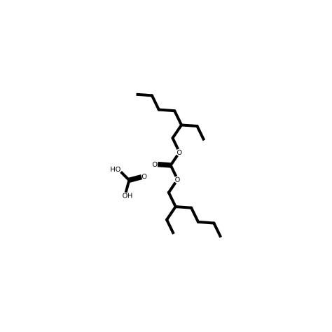 CCCCC(CC)COC(=O)OCC(CC)CCCC.O=C(O)O